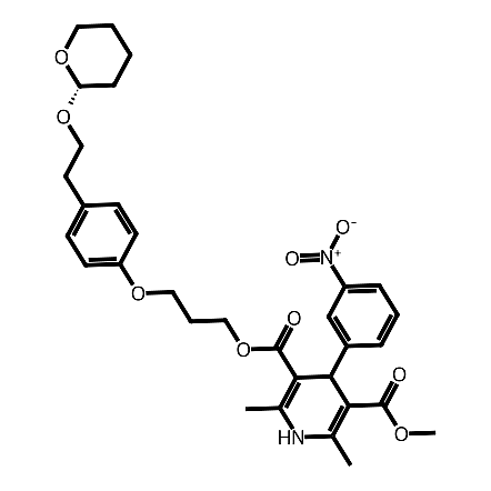 COC(=O)C1=C(C)NC(C)=C(C(=O)OCCCOc2ccc(CCO[C@H]3CCCCO3)cc2)C1c1cccc([N+](=O)[O-])c1